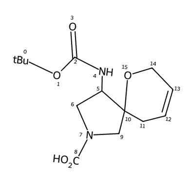 CC(C)(C)OC(=O)NC1CN(C(=O)O)CC12CC=CCO2